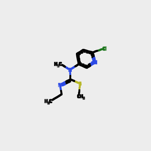 CCN=C(SC)N(C)c1ccc(Cl)nc1